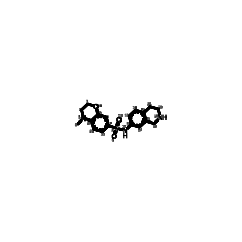 CN1CCOc2cc(S(=O)(=O)Nc3ccc4c(c3)CNCC4)ccc21